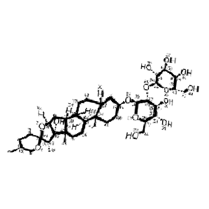 C[C@H]1CC[C@@]2(OC1)O[C@H]1C[C@H]3[C@@H]4CC[C@@H]5C[C@@H](O[C@@H]6O[C@H](CO)[C@@H](O)[C@H](O)[C@H]6O[C@@H]6O[C@@H](CO)[C@H](O)[C@H](O)[C@H]6O)CC[C@]5(C)[C@H]4CC[C@]3(C)[C@@]1(O)[C@@H]2C